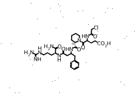 N=C(N)NCCCC(NC(=O)CC(Cc1ccccc1)NC(=O)[C@@H]1CCCCN1C(=O)C(CCC(=O)O)NC(=O)CCl)C(N)=O